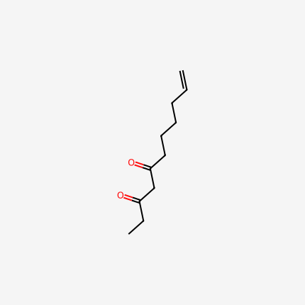 C=CCCCCC(=O)CC(=O)CC